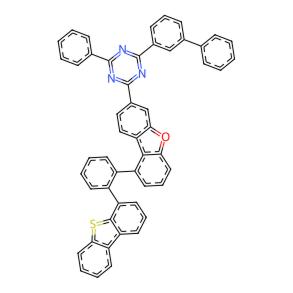 c1ccc(-c2cccc(-c3nc(-c4ccccc4)nc(-c4ccc5c(c4)oc4cccc(-c6ccccc6-c6cccc7c6sc6ccccc67)c45)n3)c2)cc1